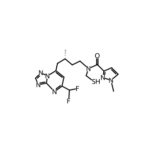 C[C@H](CCN(CS)C(=O)c1ccn(C)n1)Cc1cc(C(F)F)nc2ncnn12